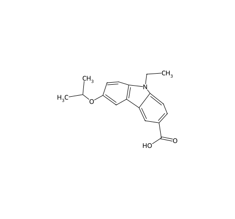 CCn1c2ccc(OC(C)C)cc2c2cc(C(=O)O)ccc21